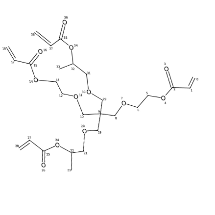 C=CC(=O)OCCOCC(COCCOC(=O)C=C)(COCC(C)OC(=O)C=C)COCC(C)OC(=O)C=C